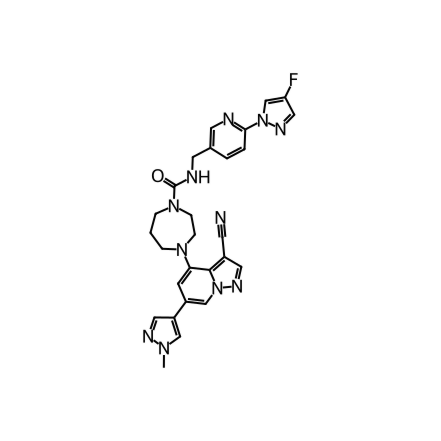 Cn1cc(-c2cc(N3CCCN(C(=O)NCc4ccc(-n5cc(F)cn5)nc4)CC3)c3c(C#N)cnn3c2)cn1